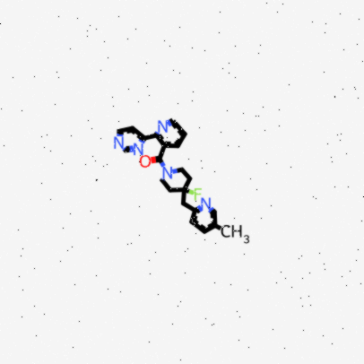 Cc1ccc(CC2(F)CCN(C(=O)c3cccnc3-c3ccncn3)CC2)nc1